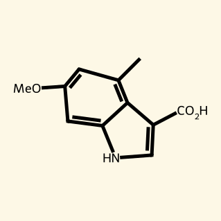 COc1cc(C)c2c(C(=O)O)c[nH]c2c1